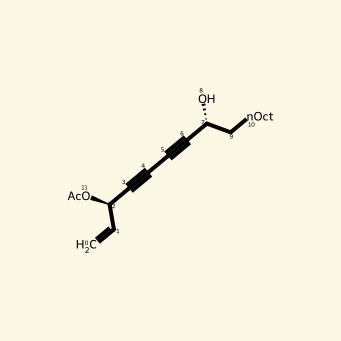 C=C[C@H](C#CC#C[C@H](O)CCCCCCCCC)OC(C)=O